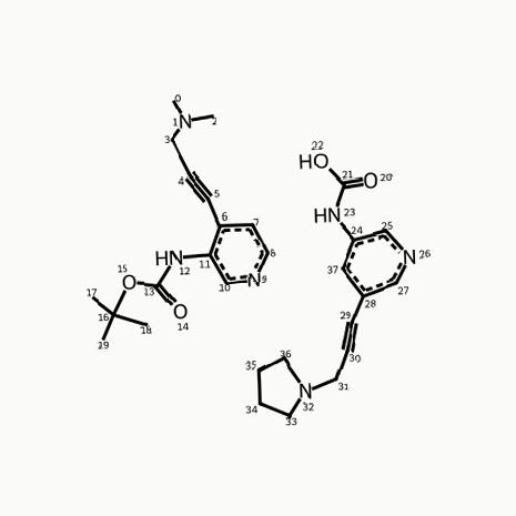 CN(C)CC#Cc1ccncc1NC(=O)OC(C)(C)C.O=C(O)Nc1cncc(C#CCN2CCCC2)c1